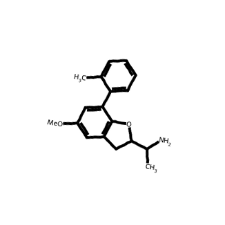 COc1cc2c(c(-c3ccccc3C)c1)OC(C(C)N)C2